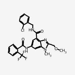 COCc1nc2c(C(=O)NCc3ccccc3Cl)cc(NC(=O)c3ccccc3C(F)(F)F)cc2n1C